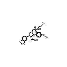 CCCNS(=O)(=O)CN1CC(c2ccc3c(c2)OCO3)[C@H](C(=O)O)[C@H]1c1ccc(OC)cc1